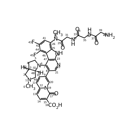 CN1C[C@@H]2CCN(c3c(-c4ccc5ccc(C(=O)O)c(=O)n5c4)cnc4[nH]c5c(N(C)C(=O)CNC(=O)CNC(=O)CN)cc(F)c(F)c5c34)[C@@H]2C1